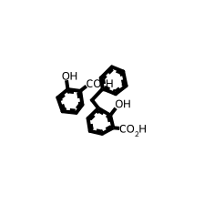 O=C(O)c1cccc(Cc2ccccc2)c1O.O=C(O)c1ccccc1O